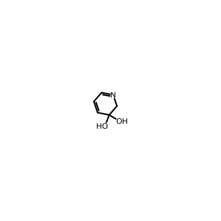 OC1(O)C=CC=NC1